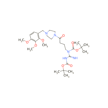 COc1ccc(CN2CCN(C(=O)CCCN(C(=N)NC(=O)OC(C)(C)C)C(=O)OC(C)(C)C)CC2)c(OC)c1OC